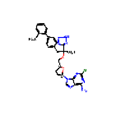 Nc1nc(Cl)nc2c1ncn2[C@H]1CC[C@@H](COC(Cc2ccc(-c3ccccc3C(=O)O)cc2)(C(=O)O)c2nn[nH]n2)O1